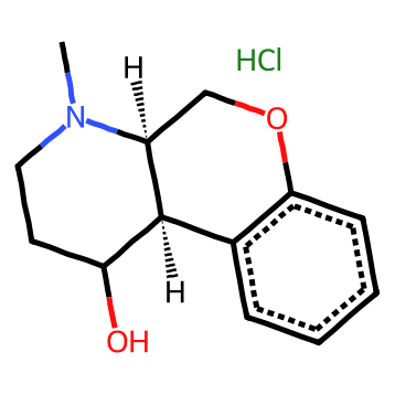 CN1CCC(O)[C@@H]2c3ccccc3OC[C@@H]21.Cl